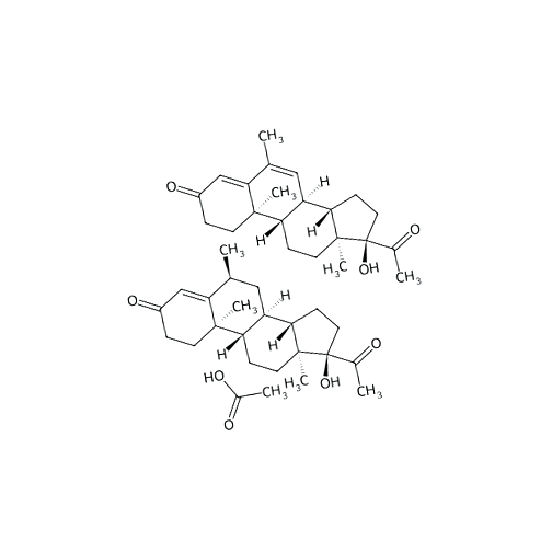 CC(=O)O.CC(=O)[C@@]1(O)CC[C@H]2[C@@H]3C=C(C)C4=CC(=O)CC[C@]4(C)[C@H]3CC[C@@]21C.CC(=O)[C@@]1(O)CC[C@H]2[C@@H]3C[C@H](C)C4=CC(=O)CC[C@]4(C)[C@H]3CC[C@@]21C